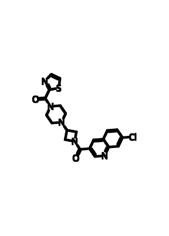 O=C(c1cnc2cc(Cl)ccc2c1)N1CC(N2CCN(C(=O)c3nccs3)CC2)C1